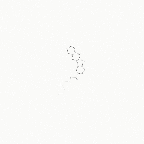 Cc1c2ccncc2cc2c3cc(C(=O)NCCC4CCN(C)CC4)ccc3n(C)c12